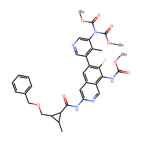 Cc1c(-c2cc3cc(NC(=O)C4C(C)C4COCc4ccccc4)ncc3c(NC(=O)OC(C)(C)C)c2F)cncc1N(C(=O)OC(C)(C)C)C(=O)OC(C)(C)C